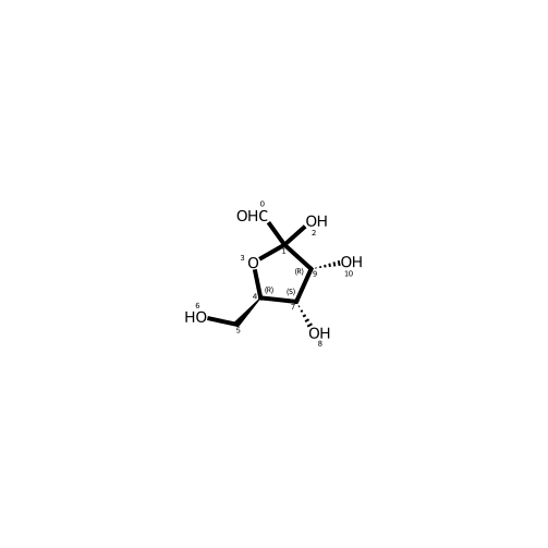 O=CC1(O)O[C@H](CO)[C@@H](O)[C@H]1O